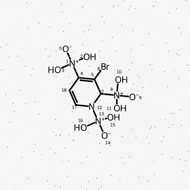 [O-][N+](O)(O)C1=C(Br)C([N+]([O-])(O)O)N([N+]([O-])(O)O)C=C1